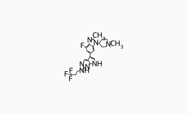 Cc1nc2c(F)cc(-c3c[nH]c4nc(NCCC(F)(F)F)ncc34)cc2n1C1CCN(C)CC1